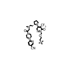 CN(CC[C@@H]1CCCN1c1cnn(COCC[Si](C)(C)C)c(=O)c1C(F)(F)F)CC(=O)N1CCN(c2ccc(C#N)cn2)CC1